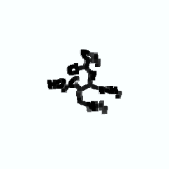 C=C(Cl)/N=C(N)\C(=C/N)C(=O)O